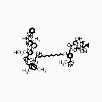 Cc1ncsc1-c1ccc(CNC(=O)[C@@H]2C[C@@H](O)CN2C(=O)[C@@H](NC(=O)C2(F)CC2)C(C)(C)C)c(OCCCCCCCCCCCN(C)CCOC23CC4(C)CC(C)(CC(Cn5ncc(-c6ccc(N7CCCc8c7nnc(Nc7nc9ccccc9s7)c8C)nc6C(=O)O)c5C)(C4)C2)C3)c1